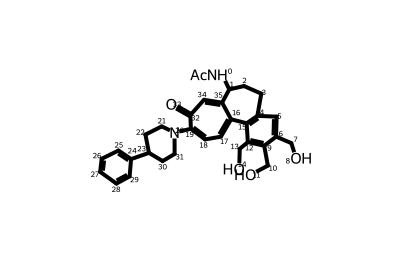 CC(=O)NC1CCc2cc(CO)c(CO)c(CO)c2-c2ccc(N3CCC(c4ccccc4)CC3)c(=O)cc21